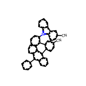 N#Cc1ccc(-c2c3ccccc3c(-c3ccccc3)c3ccccc23)c(-c2ccccc2-n2c3ccccc3c3cc(C#N)ccc32)c1